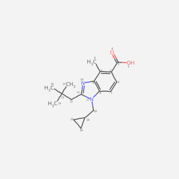 Cc1c(C(=O)O)ccc2c1nc(CC(C)(C)C)n2CC1CC1